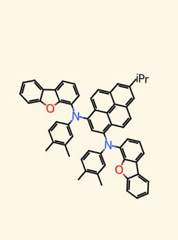 Cc1ccc(N(c2cc(N(c3ccc(C)c(C)c3)c3cccc4c3oc3ccccc34)c3ccc4cc(C(C)C)cc5ccc2c3c54)c2cccc3c2oc2ccccc23)cc1C